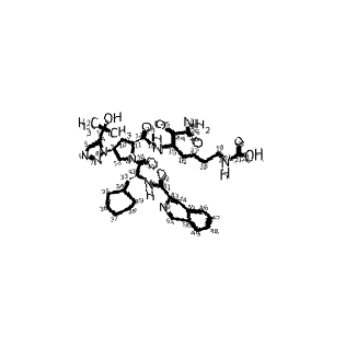 CC(C)(O)c1cnnn1[C@H]1C[C@@H](C(=O)NC(CCCCNC(=O)O)C(=O)C(N)=O)N(C(=O)[C@@H](CC2CCCCC2)NC(=O)c2cc3ccccc3cn2)C1